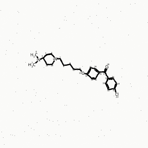 CN(C)C1CCN(CCCCCOc2ccc(C(=O)c3ccc(Cl)cc3)cc2)CC1